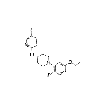 CCOc1ccc(F)c(N2CCC(Oc3ccc(I)cn3)CC2)c1